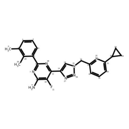 Cc1cccc(-c2nc(N)c(F)c(-c3cn(Cc4cccc(C5CC5)n4)nn3)n2)c1C